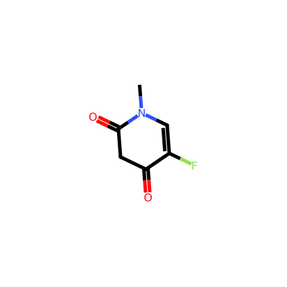 CN1C=C(F)C(=O)CC1=O